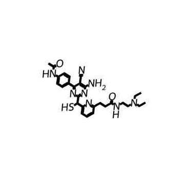 CCN(CC)CCNC(=O)CCc1cccc(C(S)c2nc(N)c(C#N)c(-c3ccc(NC(C)=O)cc3)n2)n1